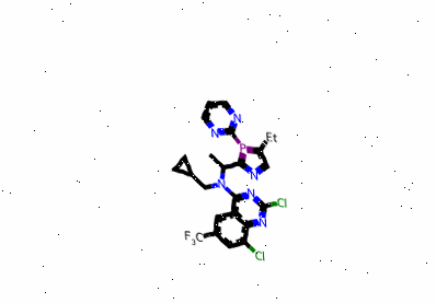 CCc1cnc(C(C)N(CC2CC2)c2nc(Cl)nc3c(Cl)cc(C(F)(F)F)cc23)p1-c1ncccn1